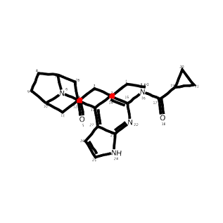 CCCCC(=O)N1C2CCC1CC(c1cc(NC(=O)C3CC3)nc3[nH]ccc13)C2